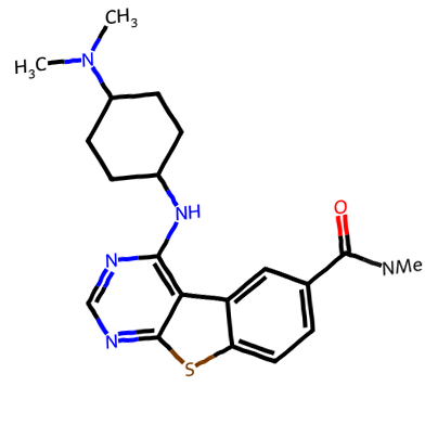 CNC(=O)c1ccc2sc3ncnc(NC4CCC(N(C)C)CC4)c3c2c1